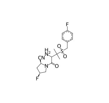 CC(C)(C(N)C(=O)N1C[C@@H](F)C[C@H]1C#N)S(=O)(=O)Cc1ccc(F)cc1